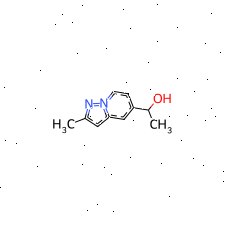 Cc1cc2cc(C(C)O)ccn2n1